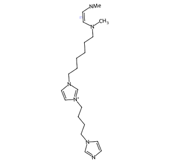 CN/C=C\N(C)CCCCCCn1cc[n+](CCCCn2ccnc2)c1